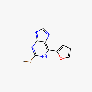 CSc1nc2ncnc-2c(-c2ccco2)[nH]1